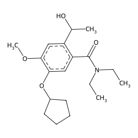 CCN(CC)C(=O)c1cc(OC2CCCC2)c(OC)cc1C(C)O